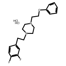 Cl.Cl.Fc1ccc(CCN2CCN(CCOc3ccccc3)CC2)cc1F